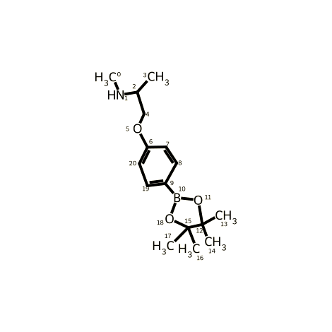 CNC(C)COc1ccc(B2OC(C)(C)C(C)(C)O2)cc1